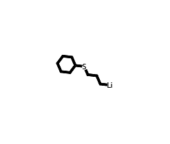 [Li][CH2]CCSC1CCCCC1